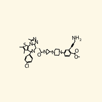 COC(=O)c1ccc(N2CCN(C3CN(C(=O)C[C@@H]4N=C(c5ccc(Cl)cc5)c5c(sc(C)c5C)-n5c(C)nnc54)C3)CC2)cc1C#CCN